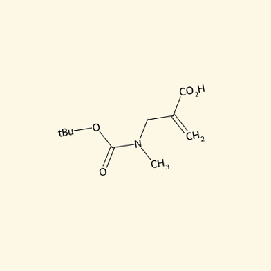 C=C(CN(C)C(=O)OC(C)(C)C)C(=O)O